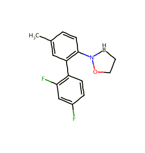 Cc1ccc(N2BCCO2)c(-c2ccc(F)cc2F)c1